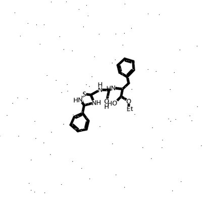 CCOC(O)C(Cc1ccccc1)NC(O)NC1NC(c2ccccc2)NS1